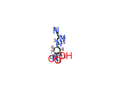 N#Cc1cn(-c2ccc([N+](=O)[O-])c(O)c2)cn1